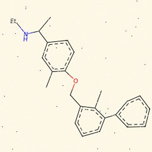 [CH2]CNC(C)c1ccc(OCc2cccc(-c3ccccc3)c2C)c(C)c1